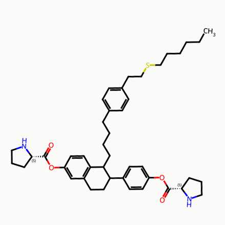 CCCCCCSCCc1ccc(CCCCC2c3ccc(OC(=O)[C@@H]4CCCN4)cc3CCC2c2ccc(OC(=O)[C@@H]3CCCN3)cc2)cc1